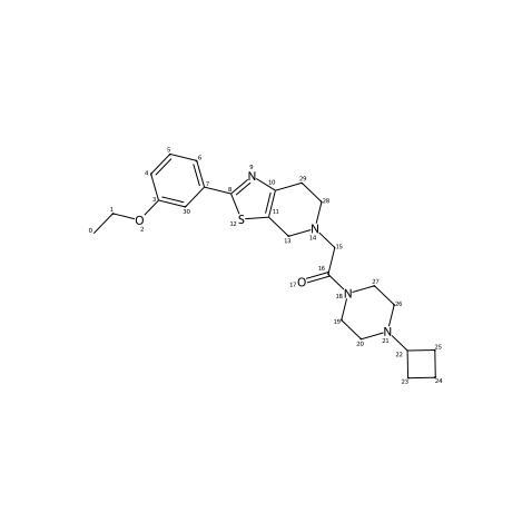 CCOc1cccc(-c2nc3c(s2)CN(CC(=O)N2CCN(C4CCC4)CC2)CC3)c1